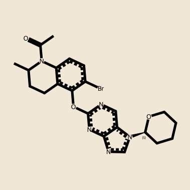 CC(=O)N1c2ccc(Br)c(Oc3ncc4c(ncn4[C@@H]4CCCCO4)n3)c2CCC1C